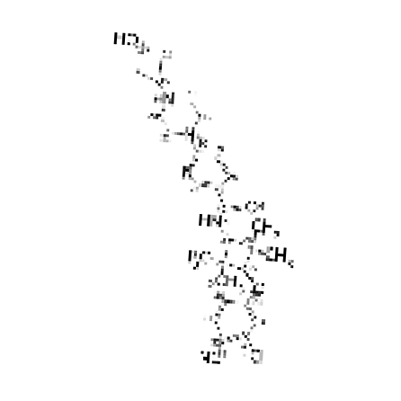 CC1(C)[C@H](NC(=O)c2ccc(N3CCN(C4CC(O)C4)CC3)nc2)C(C)(C)[C@H]1Oc1ccc(C#N)c(Cl)c1